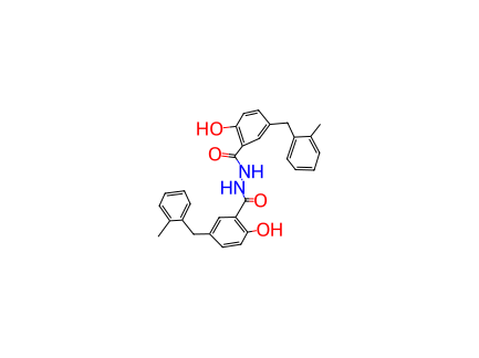 Cc1ccccc1Cc1ccc(O)c(C(=O)NNC(=O)c2cc(Cc3ccccc3C)ccc2O)c1